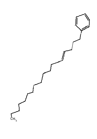 CCCCCCCCCCCCC=CCCCc1[c]cccc1